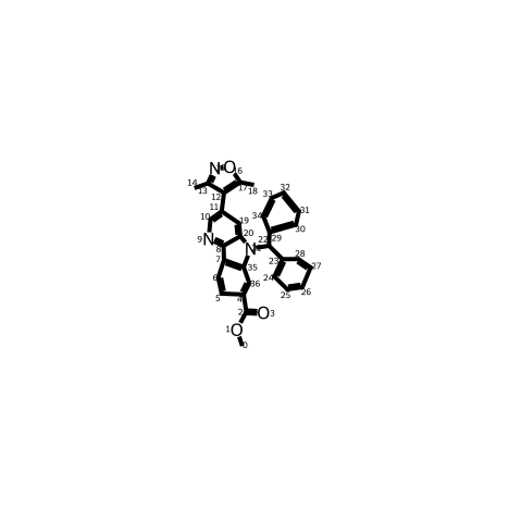 COC(=O)c1ccc2c3ncc(-c4c(C)noc4C)cc3n(C(c3ccccc3)c3ccccc3)c2c1